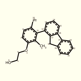 Cc1c(OCCO)ccc(C(C)C)c1-c1cccc2c1Cc1ccccc1-2